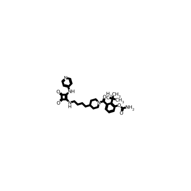 CC(C)(C)c1c(OC(N)=O)cccc1C(=O)N1CCC(CCCCNc2c(Nc3ccncc3)c(=O)c2=O)CC1